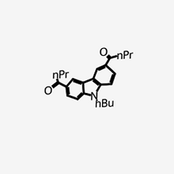 CCCCn1c2ccc(C(=O)CCC)cc2c2cc(C(=O)CCC)ccc21